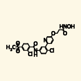 CS(=O)(=O)c1ccc(C(=O)Nc2ccc(Cl)c(-c3ccc(OCCC(=O)NO)cn3)c2)c(Cl)c1